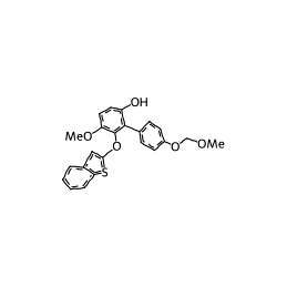 COCOc1ccc(-c2c(O)ccc(OC)c2Oc2cc3ccccc3s2)cc1